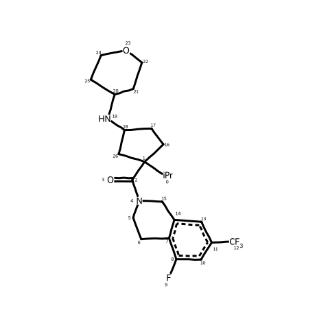 CC(C)C1(C(=O)N2CCc3c(F)cc(C(F)(F)F)cc3C2)CCC(NC2CCOCC2)C1